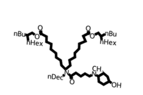 CCCCCCCCCCN(C(=O)CCCCN(C)C1CCC(O)CC1)C(CCCCCCCCC(=O)OCC(CCCC)CCCCCC)CCCCCCCCC(=O)OCC(CCCC)CCCCCC